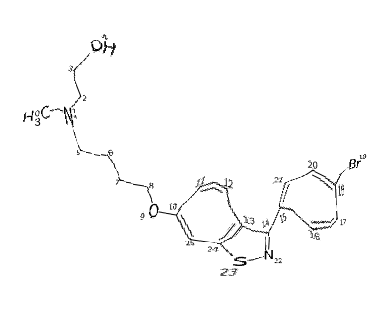 CN(CCO)CCCCOc1ccc2c(-c3ccc(Br)cc3)nsc2c1